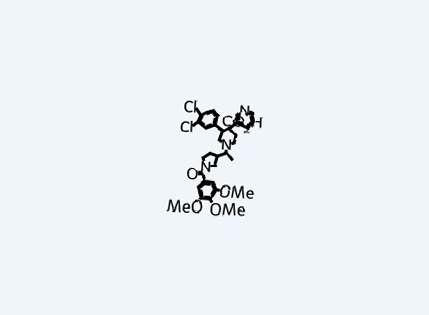 COc1cc(C(=O)N2CCC(C(C)N3CCC(C(=O)O)(c4cccnc4)C(c4ccc(Cl)c(Cl)c4)C3)C2)cc(OC)c1OC